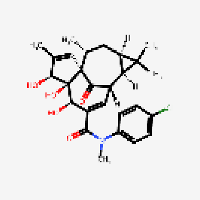 CC1=C[C@]23C(=O)[C@@H](C=C(C(=O)N(C)c4ccc(Cl)cc4)[C@@H](O)[C@]2(O)[C@H]1O)[C@H]1[C@@H](C[C@H]3C)C1(C)C